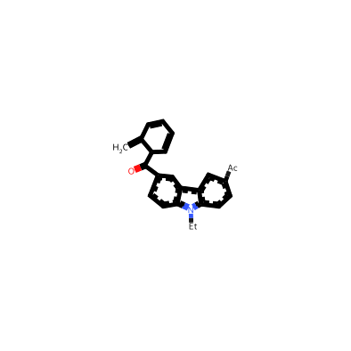 C=C1C=CC=CC1C(=O)c1ccc2c(c1)c1cc(C(C)=O)ccc1n2CC